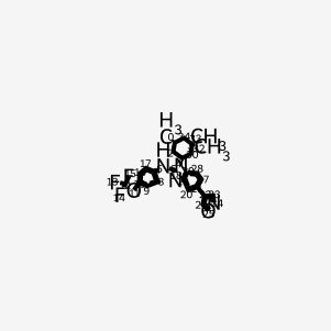 C[C@@H]1C[C@H](n2c(Nc3ccc(OC(F)(F)F)cc3)nc3cc(-c4cnoc4)ccc32)CC(C)(C)C1